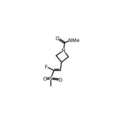 CNC(=O)N1CC(/C=C(\F)S(C)(=O)=O)C1